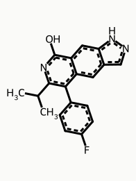 CC(C)c1nc(O)c2cc3[nH]ncc3cc2c1-c1ccc(F)cc1